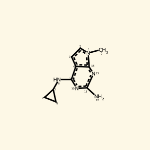 Cn1ccc2c(NC3CC3)nc(N)nc21